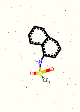 O=S(=O)(Nc1cccc2[c]cccc12)C(F)(F)F